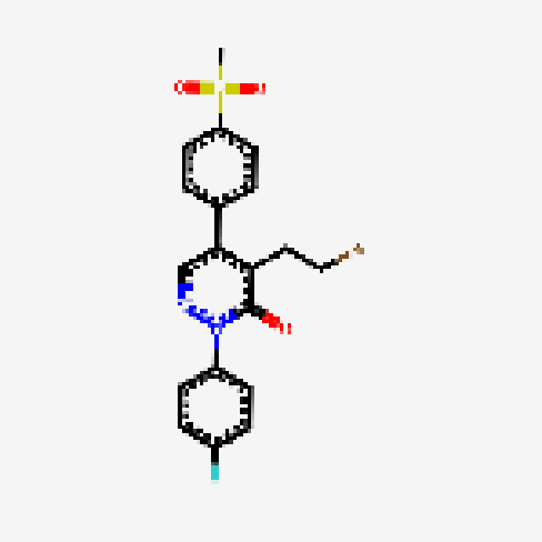 CS(=O)(=O)c1ccc(-c2cnn(-c3ccc(F)cc3)c(=O)c2CCBr)cc1